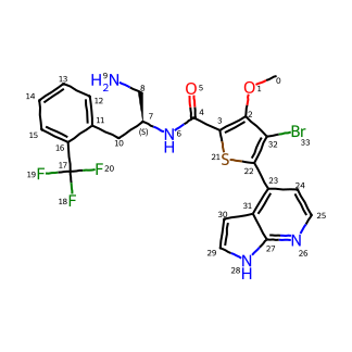 COc1c(C(=O)N[C@H](CN)Cc2ccccc2C(F)(F)F)sc(-c2ccnc3[nH]ccc23)c1Br